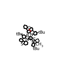 CC(C)(C)c1ccc2c(c1)B1c3cc4c(cc3N(c3ccc(C(C)(C)C)cc3-c3ccccc3)c3cc(N5c6ccc(C(C)(C)C)cc6C6(C)CCCCC56C)cc(c31)N2c1cccc2sc3ccccc3c12)oc1ccccc14